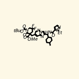 CCn1nccc1C(=O)N[C@H](c1cn2ncc(CC3(C(=O)OC)CC(F)(F)CN(C(=O)OC(C)(C)C)C3=O)cc2n1)C1CCC(C)CC1